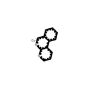 [Cu].c1ccc2c(c1)cnc1ncccc12